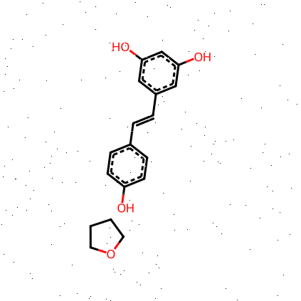 C1CCOC1.Oc1ccc(C=Cc2cc(O)cc(O)c2)cc1